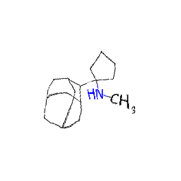 CNC1(C2C3CC4CC(C3)CC2C4)CCCC1